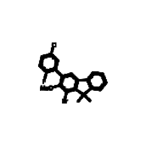 COc1c(-c2cc(Cl)ccc2F)cc2c(c1Br)C(C)(C)c1ccccc1-2